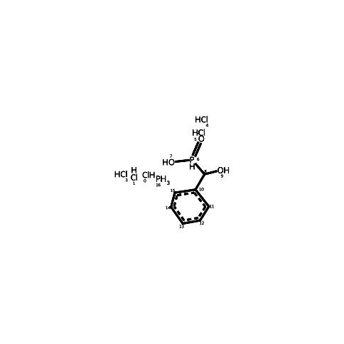 Cl.Cl.Cl.Cl.Cl.O=[PH](O)C(O)c1ccccc1.P